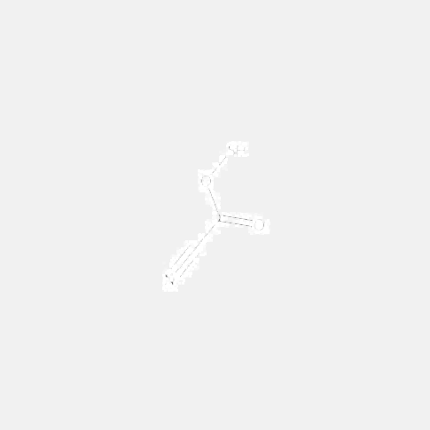 N#CC(=O)OS